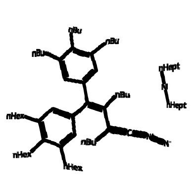 CCCCCC[CH2][Ni][CH2]CCCCCC.CCCCCCc1cc(C(=C(CCCC)C(=C=[N+]=[N-])CCCC)c2cc(CCCC)c(CCCC)c(CCCC)c2)cc(CCCCCC)c1CCCCCC